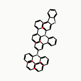 c1ccc(-c2ccccc2N(c2cccc(-c3ccccc3N(c3ccc4c(c3)sc3ccccc34)c3ccccc3-c3ccccc3)c2)c2ccccc2-c2ccccc2)cc1